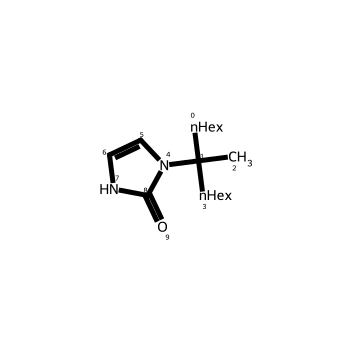 CCCCCCC(C)(CCCCCC)n1cc[nH]c1=O